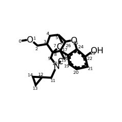 COCC1CC2CCC13CN(CC1CC1)CCC31c3cccc(O)c3OC21